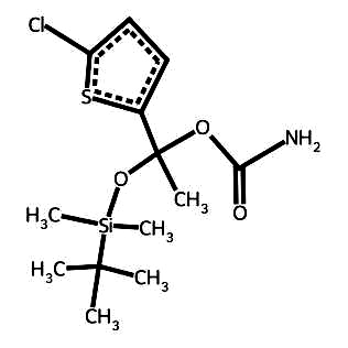 CC(OC(N)=O)(O[Si](C)(C)C(C)(C)C)c1ccc(Cl)s1